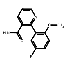 COc1ccc(F)cc1-c1ncccc1C(N)=O